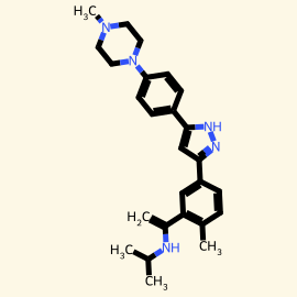 C=C(NC(C)C)c1cc(-c2cc(-c3ccc(N4CCN(C)CC4)cc3)[nH]n2)ccc1C